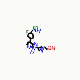 OCCn1cc(-c2nc3c(-c4ccc(CNCl)c(F)c4)ccnc3[nH]2)cn1